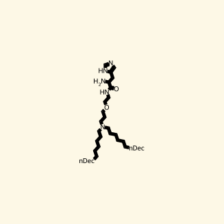 CCCCCCCCCCCCCCCCN(CCCCCCCCCCCCCCCC)CCCOCCNC(=O)C(N)Cc1cnc[nH]1